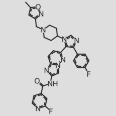 Cc1cc(CN2CCC(n3cnc(-c4ccc(F)cc4)c3-c3ccc4nc(NC(=O)c5ccnc(F)c5)cn4n3)CC2)no1